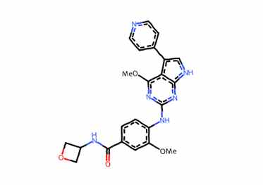 COc1cc(C(=O)NC2COC2)ccc1Nc1nc(OC)c2c(-c3ccncc3)c[nH]c2n1